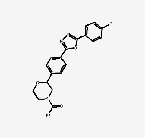 O=C(O)N1CCOC(c2ccc(-c3nnc(-c4ccc(F)cc4)o3)cc2)C1